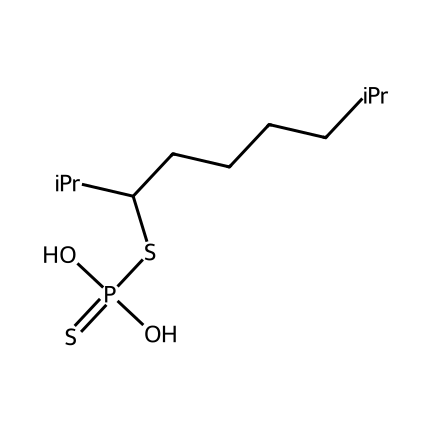 CC(C)CCCCC(SP(O)(O)=S)C(C)C